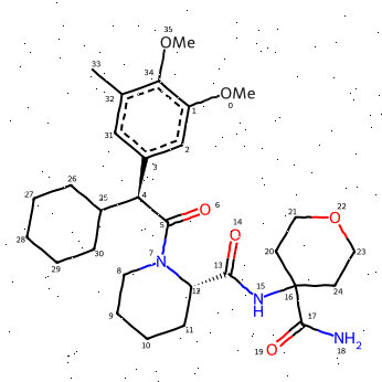 COc1cc([C@@H](C(=O)N2CCCC[C@H]2C(=O)NC2(C(N)=O)CCOCC2)C2CCCCC2)cc(C)c1OC